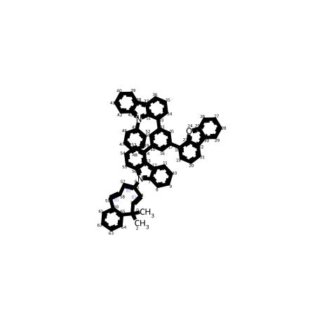 CC1(C)/C=C/C(n2c3ccccc3c3c(-c4cc(-c5cccc6c5oc5ccccc56)cc(-c5cccc6c7ccccc7n(-c7ccccc7)c56)c4)cccc32)=C\C=C\c2ccccc21